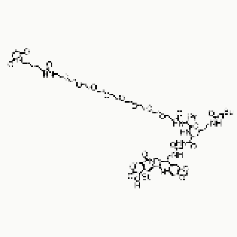 CC[C@@]1(O)C(=O)OCc2c1cc1n(c2=O)Cc2c-1nc1cc3c(cc1c2CNC(=O)CNC(=O)[C@H](CCCCNC(=O)OC(C)(C)C)NC(=O)[C@@H](NC(=O)CCOCCOCCOCCOCCOCCOCCOCCOCCNC(=O)CCCCCN1C(=O)C=CC1=O)C(C)C)OCO3